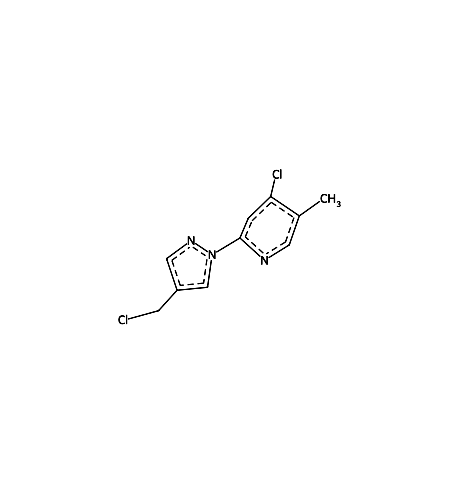 Cc1cnc(-n2cc(CCl)cn2)cc1Cl